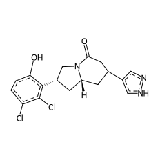 O=C1CC(c2cn[nH]c2)C[C@@H]2C[C@H](c3c(O)ccc(Cl)c3Cl)CN12